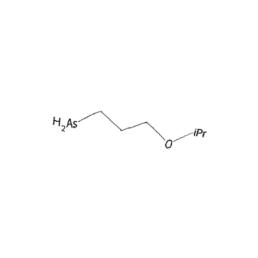 CC(C)OCCC[AsH2]